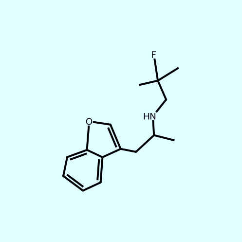 CC(Cc1coc2ccccc12)NCC(C)(C)F